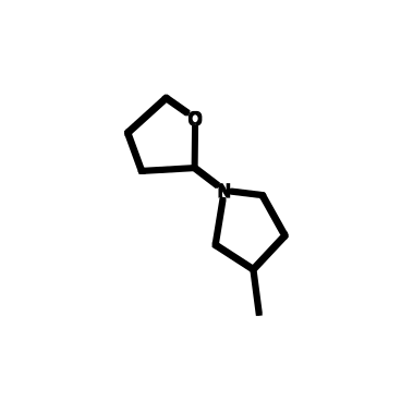 CC1CCN(C2CCCO2)C1